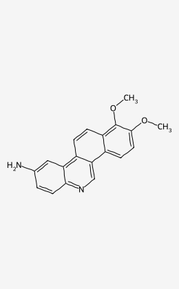 COc1ccc2c(ccc3c4cc(N)ccc4ncc23)c1OC